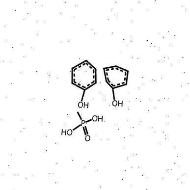 CP(=O)(O)O.Oc1ccccc1.Oc1ccccc1